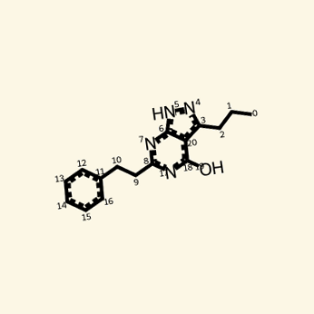 CCCc1n[nH]c2nc(CCc3ccccc3)nc(O)c12